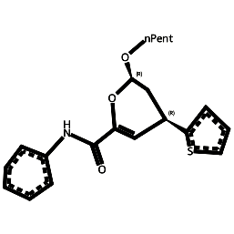 CCCCCO[C@H]1C[C@@H](c2cccs2)C=C(C(=O)Nc2ccccc2)O1